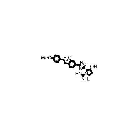 COc1ccc(CCc2ccc(-c3noc([C@@H]4[C@@H](O)CCN4C(=N)N)n3)cc2C(F)(F)F)cc1